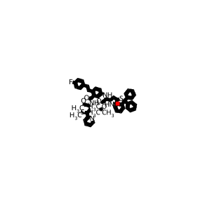 CSC(C[C@H](NC(=O)c1cc(NC(C(=O)OC(C)(C)C)C2CC(SC(c3ccccc3)(c3ccccc3)c3ccccc3)CN2)ccc1CCc1ccc(F)cc1)C(C)=O)c1ccccn1